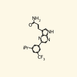 CC(C)c1cc(-c2cnc3[nH]cc(C=CC(N)=O)c3n2)cc(C(F)(F)F)c1